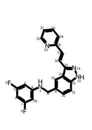 Fc1cc(F)cc(NCc2ccc3[nH]nc(/C=C/c4ccccn4)c3c2)c1